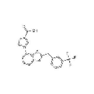 O=C(O)c1cnn(-c2cccc3cc(Cc4cccc(C(F)(F)F)c4)sc23)c1